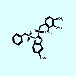 COc1ccc2c(c1)nc(S(=O)(=O)Cc1ncc(C)c(OC)c1C)n2S(=O)(=O)Cc1ccccc1